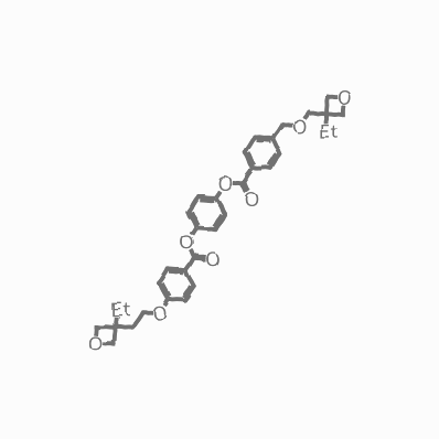 CCC1(CCOc2ccc(C(=O)Oc3ccc(OC(=O)c4ccc(COCC5(CC)COC5)cc4)cc3)cc2)COC1